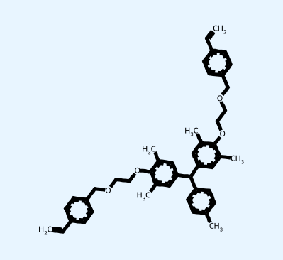 C=Cc1ccc(COCCOc2c(C)cc(C(c3ccc(C)cc3)c3cc(C)c(OCCOCc4ccc(C=C)cc4)c(C)c3)cc2C)cc1